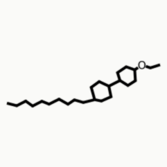 CCCCCCCCCCC1CCC(C2CCC(OCC)CC2)CC1